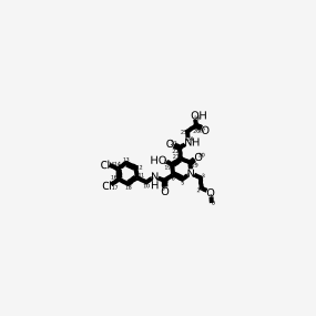 COCCn1cc(C(=O)NCc2ccc(Cl)c(Cl)c2)c(O)c(C(=O)NCC(=O)O)c1=O